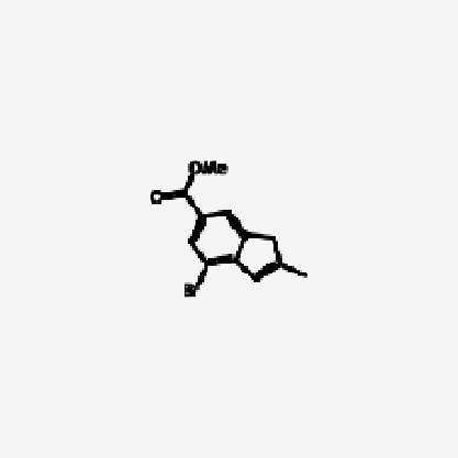 COC(=O)c1cc(Br)c2c(c1)CC(C)=C2